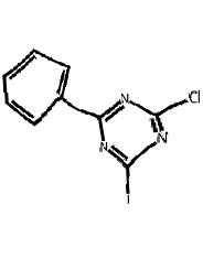 Clc1nc(I)nc(-c2ccccc2)n1